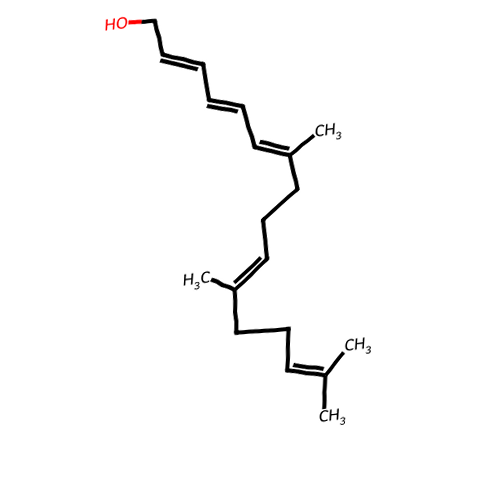 CC(C)=CCCC(C)=CCCC(C)=CC=CC=CCO